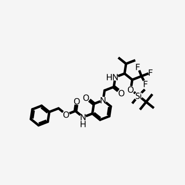 CC(C)C(NC(=O)Cn1cccc(NC(=O)OCc2ccccc2)c1=O)C(O[Si](C)(C)C(C)(C)C)C(F)(F)F